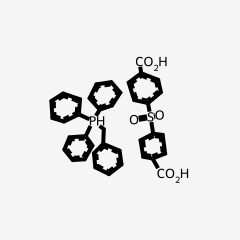 O=C(O)c1ccc(S(=O)(=O)c2ccc(C(=O)O)cc2)cc1.c1ccc(C[PH](c2ccccc2)(c2ccccc2)c2ccccc2)cc1